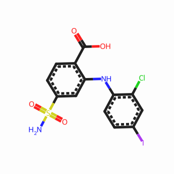 NS(=O)(=O)c1ccc(C(=O)O)c(Nc2ccc(I)cc2Cl)c1